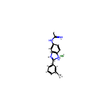 Br.CC(=N)Nc1ccc2[nH]c(-c3cccc(C(F)(F)F)c3)nc2c1